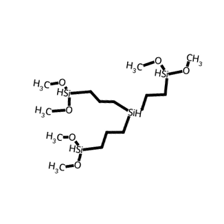 CO[SiH](CCC[SiH](CCC[SiH](OC)OC)CCC[SiH](OC)OC)OC